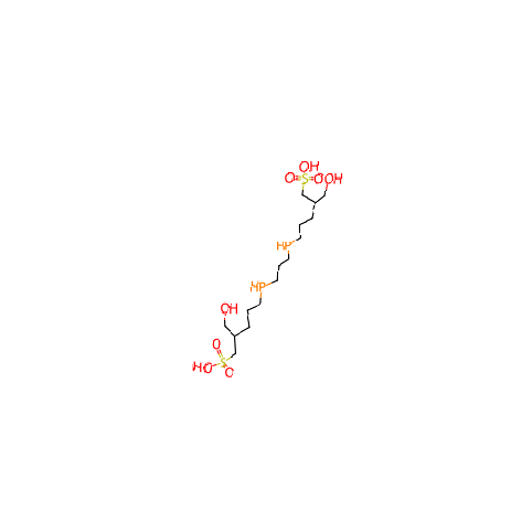 O=S(=O)(O)CC(CO)CCCPCCCPCCCC(CO)CS(=O)(=O)O